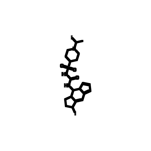 CC(I)N1CCC(S(=O)(=O)NC(=O)NC2C3C=CC=C3C=C3C(I)CCC32)CC1